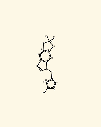 Cc1ccc(CC2C=Cc3cc4c(cc32)CC(C)(C)C4)[nH]1